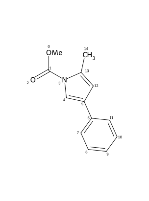 COC(=O)n1cc(-c2ccccc2)cc1C